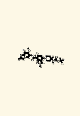 COc1c(NC(=O)c2c(F)cc(N3CCC(C)(N(C)C(=O)OC(C)(C)C)CC3)c3cn(C)nc23)cn2cc(C)nc2c1F